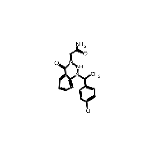 CC(c1ccc(Cl)cc1)N1NN(CC(N)=O)C(=O)c2ccccc21